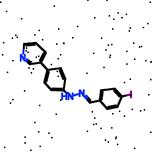 Ic1ccc(C=NNc2ccc(-c3cccnc3)cc2)cc1